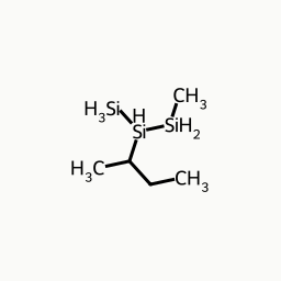 CCC(C)[SiH]([SiH3])[SiH2]C